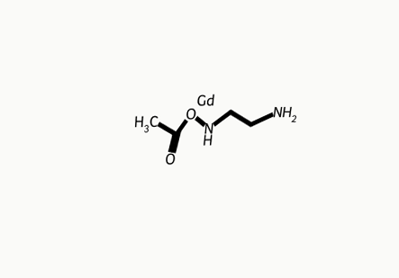 CC(=O)ONCCN.[Gd]